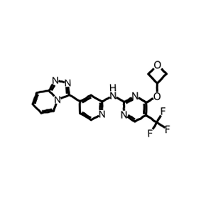 FC(F)(F)c1cnc(Nc2cc(-c3nnc4ccccn34)ccn2)nc1OC1COC1